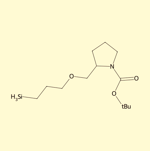 CC(C)(C)OC(=O)N1CCCC1COCCC[SiH3]